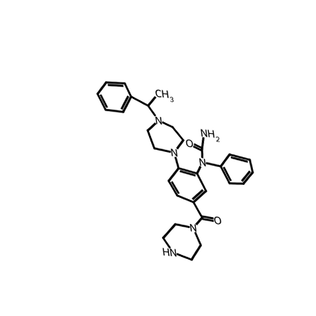 CC(c1ccccc1)N1CCN(c2ccc(C(=O)N3CCNCC3)cc2N(C(N)=O)c2ccccc2)CC1